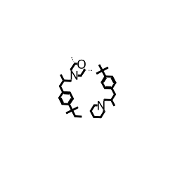 CC(Cc1ccc(C(C)(C)C)cc1)CN1CCCCC1.CCC(C)(C)c1ccc(CC(C)CN2C[C@@H](C)O[C@@H](C)C2)cc1